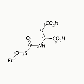 CCOSC(=O)N[C@@H](CC(=O)O)C(=O)O